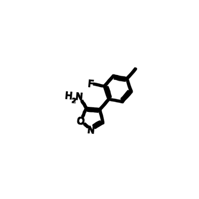 Cc1ccc(-c2cnoc2N)c(F)c1